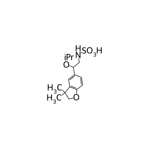 CC(C)OC(CNS(=O)(=O)O)c1ccc2c(c1)C(C)(C)CO2